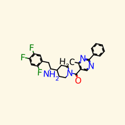 Cc1nc(-c2ccccc2)ncc1C(=O)N1CCC([C@H](N)Cc2cc(F)c(F)cc2F)CC1